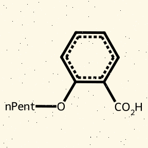 [CH]CCCCOc1ccccc1C(=O)O